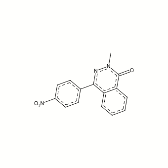 Cn1nc(-c2ccc([N+](=O)[O-])cc2)c2ccccc2c1=O